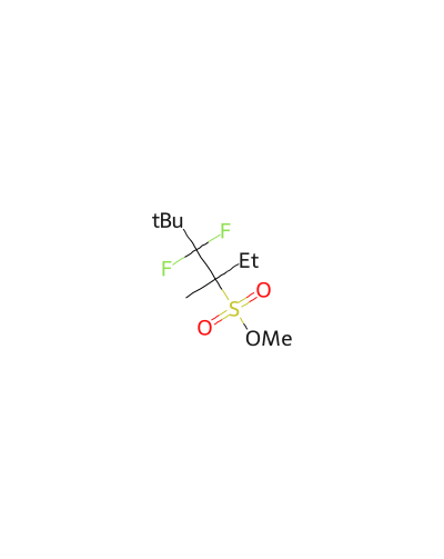 CCC(C)(C(F)(F)C(C)(C)C)S(=O)(=O)OC